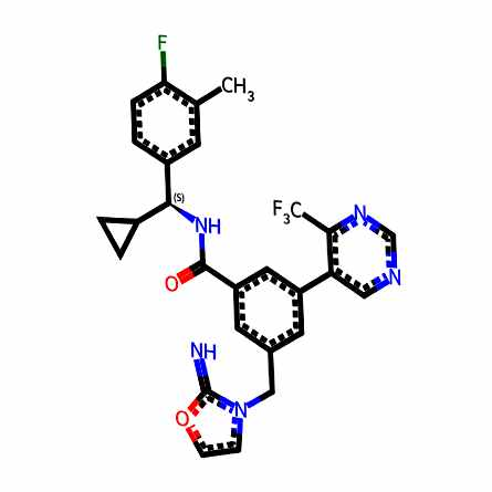 Cc1cc([C@@H](NC(=O)c2cc(Cn3ccoc3=N)cc(-c3cncnc3C(F)(F)F)c2)C2CC2)ccc1F